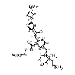 C=CCC1(C)COCCN1Cc1ccc(NC(=O)c2csc(N3CC(OC)C3)n2)c(C(=O)NCCOC)c1